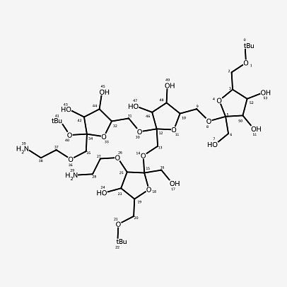 CC(C)(C)OCC1OC(CO)(OCC2OC(COC3(CO)OC(COC(C)(C)C)C(O)C3OCCN)(OCC3OC(COCCN)(OC(C)(C)C)C(O)C3O)C(O)C2O)C(O)C1O